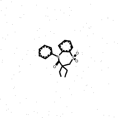 CCC1(CC)CS(=O)(=O)c2ccccc2N(c2ccccc2)C1=O